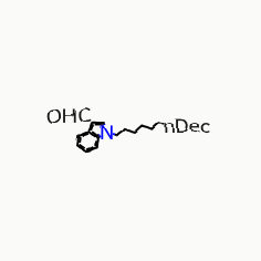 CCCCCCCCCCCCCCCCn1cc(C=O)c2ccccc21